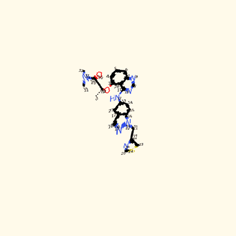 C[C@@H](Oc1cccc2ncnc(Nc3ccc4c(cnn4Cc4cscn4)c3)c12)C(=O)N(C)C